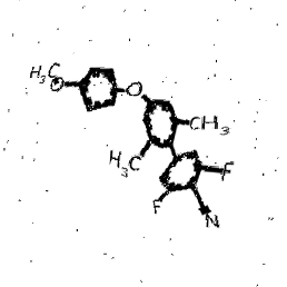 COc1ccc(Oc2cc(C)c(-c3cc(F)c(C#N)c(F)c3)c(C)c2)cc1